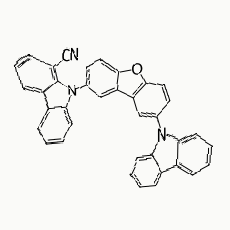 N#Cc1cccc2c3ccccc3n(-c3ccc4oc5ccc(-n6c7ccccc7c7ccccc76)cc5c4c3)c12